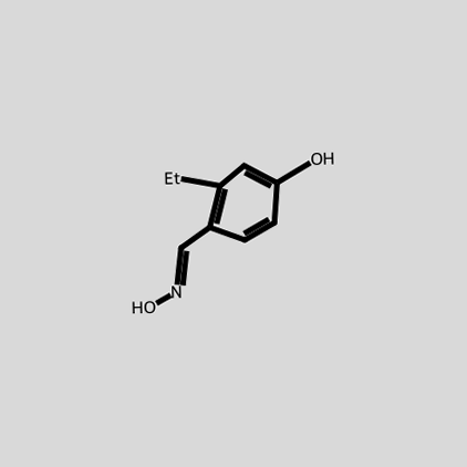 CCc1cc(O)ccc1C=NO